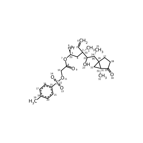 C=C[C@](C)(C[C@H](CCC)OC(=O)COS(=O)(=O)c1ccc(C)cc1)C(O)[C@H](C)C12CCC(=O)[C@@]1(C)C2